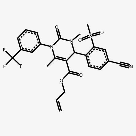 C=CCOC(=O)C1=C(C)N(c2cccc(C(F)(F)F)c2)C(=O)N(C)C1c1ccc(C#N)cc1S(C)(=O)=O